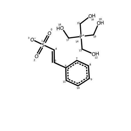 O=S(=O)([O-])C=Cc1ccccc1.OC[P+](CO)(CO)CO